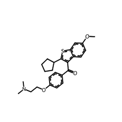 COc1ccc2c(C(=O)c3ccc(OCCN(C)C)cc3)c(C3CCCC3)sc2c1